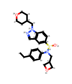 CCc1ccc(N(CC2COC2)[S+]([O-])c2ccc3c(cnn3CC3CCOCC3)c2)cc1